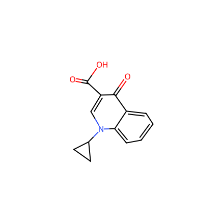 O=C(O)c1cn(C2CC2)c2ccccc2c1=O